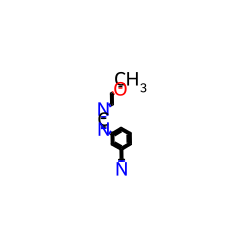 COCCN=C=Nc1cccc(C#N)c1